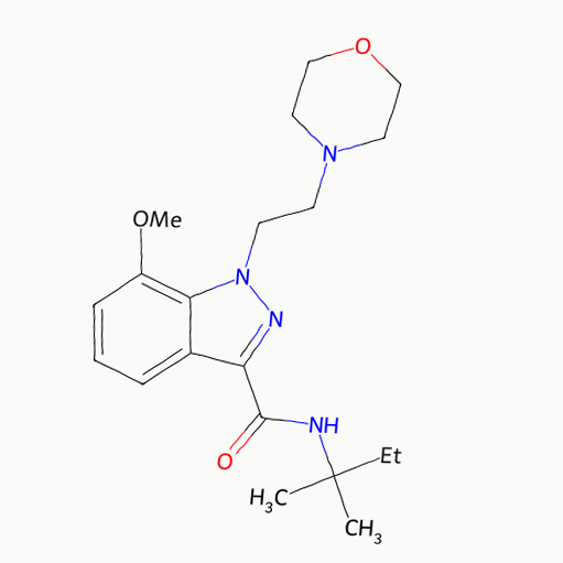 CCC(C)(C)NC(=O)c1nn(CCN2CCOCC2)c2c(OC)cccc12